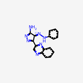 NC1=NN=C(c2cnc3ccccc3n2)/C1=N\Nc1ccccc1